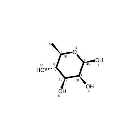 C[C@H]1O[C@@H](O)[C@@H](O)[C@@H](O)[C@@H]1O